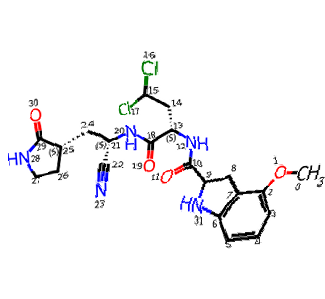 COc1cccc2c1CC(C(=O)N[C@@H](CC(Cl)Cl)C(=O)N[C@H](C#N)C[C@@H]1CCNC1=O)N2